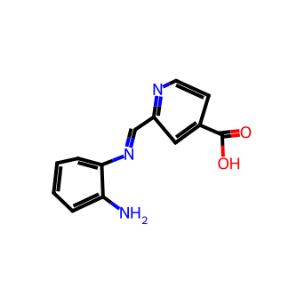 Nc1ccccc1/N=C/c1cc(C(=O)O)ccn1